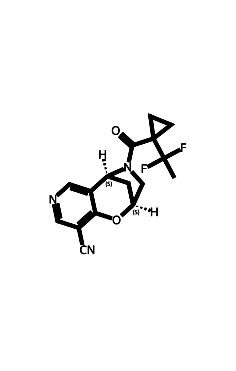 CC(F)(F)C1(C(=O)N2C[C@@H]3C[C@H]2c2cncc(C#N)c2O3)CC1